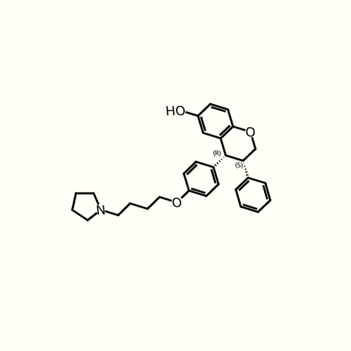 Oc1ccc2c(c1)[C@@H](c1ccc(OCCCCN3CCCC3)cc1)[C@@H](c1ccccc1)CO2